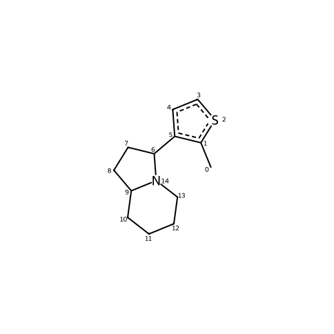 Cc1sccc1C1CCC2CCCCN21